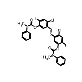 CN(C(=O)Oc1cc(SSc2cc(OC(=O)N(C)c3ccccc3)c(F)cc2Cl)c(Cl)cc1F)c1ccccc1